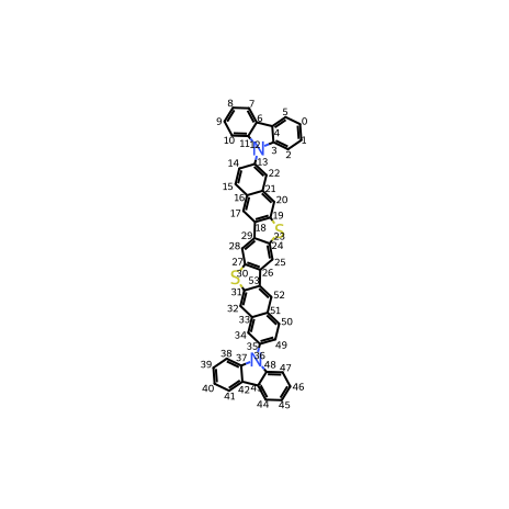 c1ccc2c(c1)c1ccccc1n2-c1ccc2cc3c(cc2c1)sc1cc2c(cc13)sc1cc3cc(-n4c5ccccc5c5ccccc54)ccc3cc12